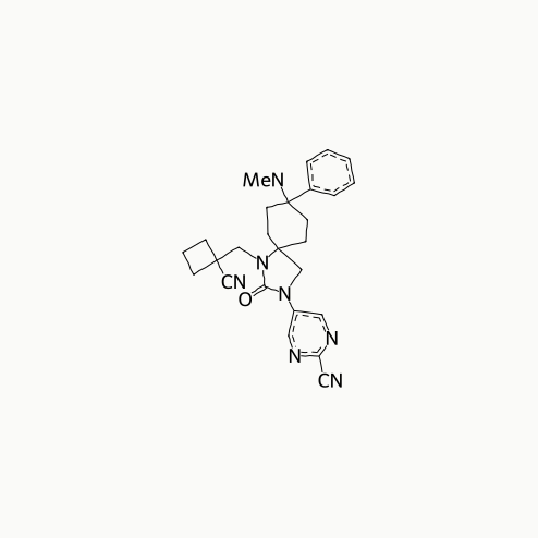 CNC1(c2ccccc2)CCC2(CC1)CN(c1cnc(C#N)nc1)C(=O)N2CC1(C#N)CCC1